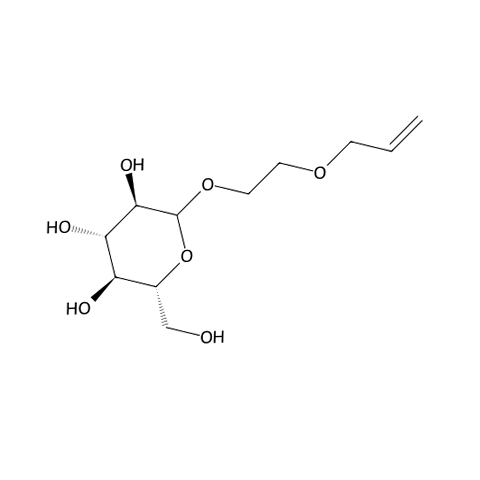 C=CCOCCOC1O[C@H](CO)[C@@H](O)[C@H](O)[C@H]1O